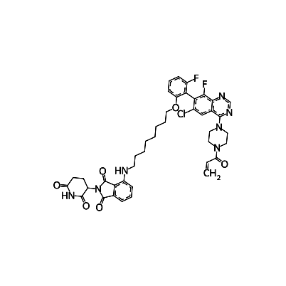 C=CC(=O)N1CCN(c2ncnc3c(F)c(-c4c(F)cccc4OCCCCCCCCNc4cccc5c4C(=O)N(C4CCC(=O)NC4=O)C5=O)c(Cl)cc23)CC1